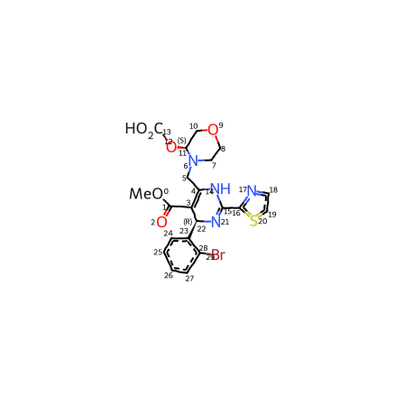 COC(=O)C1=C(CN2CCOC[C@@H]2OC(=O)O)NC(c2nccs2)=N[C@H]1c1ccccc1Br